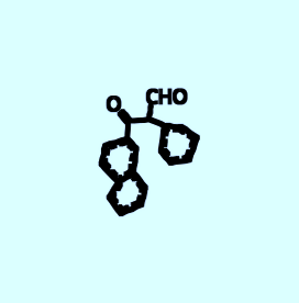 O=CC(C(=O)c1ccc2ccccc2c1)c1ccccc1